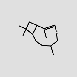 C/C1=C\CCC(C)CCC2C1CC2(C)C